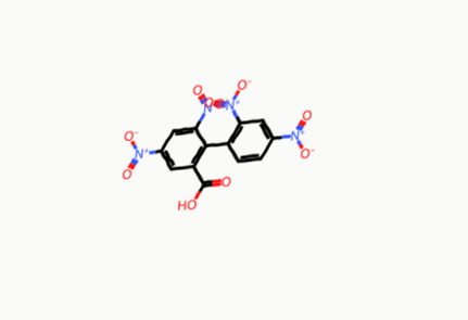 O=C(O)c1cc([N+](=O)[O-])cc([N+](=O)[O-])c1-c1ccc([N+](=O)[O-])cc1[N+](=O)[O-]